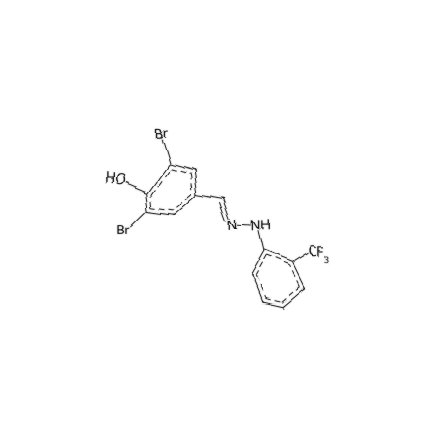 Oc1c(Br)cc(/C=N/Nc2ccccc2C(F)(F)F)cc1Br